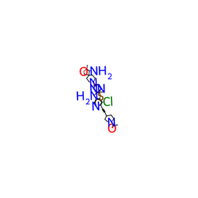 CC(=O)N1CCC(C#Cc2nccc(Sc3ncc(N4CCC5(CC4)CO[C@@H](C)[C@H]5N)nc3N)c2Cl)CC1